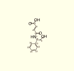 O=C(O)C=CC(=O)N[C@@H](CO)c1ccccc1